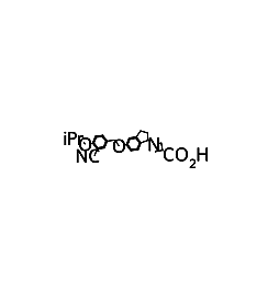 CC(C)Oc1ccc(COc2ccc3c(c2)CCC3N2CC(C(=O)O)C2)cc1C#N